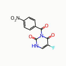 O=C(c1ccc([N+](=O)[O-])cc1)n1c(=O)[nH]cc(F)c1=O